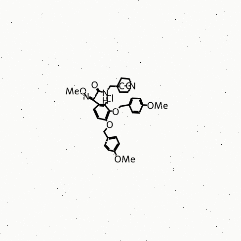 CO/N=C(\C(=O)NCC12CCN(CC1)CC2)c1ccc(OCc2ccc(OC)cc2)c(OCc2ccc(OC)cc2)c1Cl